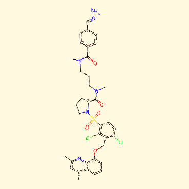 Cc1cc(C)c2cccc(OCc3c(Cl)ccc(S(=O)(=O)N4CCC[C@H]4C(=O)N(C)CCCN(C)C(=O)c4ccc(C=NN)cc4)c3Cl)c2n1